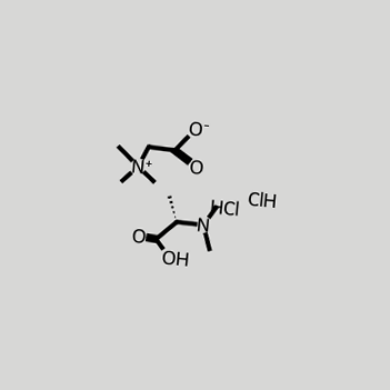 C[C@@H](C(=O)O)N(C)C.C[N+](C)(C)CC(=O)[O-].Cl.Cl